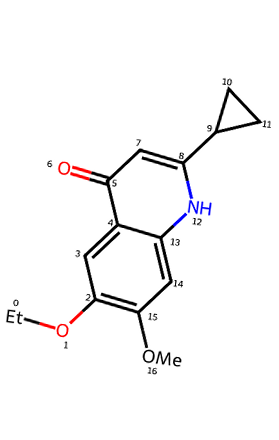 CCOc1cc2c(=O)cc(C3CC3)[nH]c2cc1OC